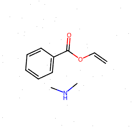 C=COC(=O)c1ccccc1.CNC